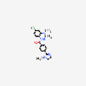 CN1CCN=C1c1ccc(C(=O)Nc2ccc(Cl)cc2N(C)C)cc1